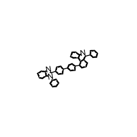 c1ccc(-c2nc3ccccc3c3c(-c4ccc(-c5ccc(-c6nc7ccccc7n6-c6ccccc6)cc5)cc4)cccc23)cc1